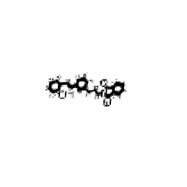 O=C1c2ccccc2C(=O)N1CCCc1cccc(C=Cc2ccccc2O)c1